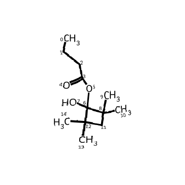 CCCC(=O)OC1(O)C(C)(C)CC1(C)C